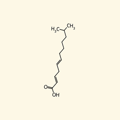 CC(C)CCCC/C=C/C/C=C/C(=O)O